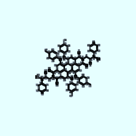 CCN(C(=O)CN1C(=O)c2cc(Oc3ccc(C)cc3)c3c4c(Oc5ccc(C)cc5)cc5c6c(cc(Oc7ccc(C)cc7)c(c7c(Oc8ccc(C)cc8)cc(c2c37)C1=O)c64)C(=O)N(CC(=O)N(CC)c1ccncc1)C5=O)c1ccncc1